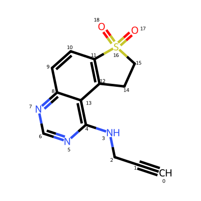 C#CCNc1ncnc2ccc3c(c12)CCS3(=O)=O